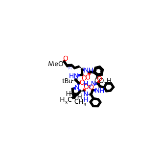 COC(=O)/C=C/CC[C@H](NC(=O)c1ccccc1C(=O)O)C(=O)N[C@H](C(=O)N1C[C@H]2[C@@H]([C@H]1C(=O)N[C@H](C(=O)N[C@H](C(N)=O)C1CCCCC1)C1CCCCC1)C2(C)C)C(C)(C)C